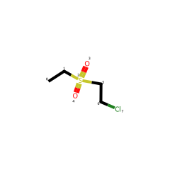 CCS(=O)(=O)CCCl